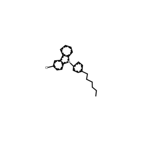 CCCCCCc1ccc(-n2c3ccccc3c3cc(Cl)ccc32)cc1